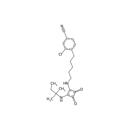 CCC(C)(C)Nc1c(NCCCCCc2ccc(C#N)cc2Cl)c(=O)c1=O